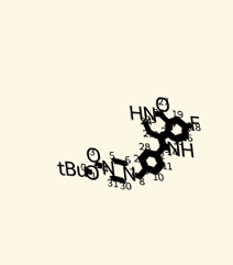 CC(C)(C)OC(=O)N1CCN(Cc2ccc(-c3[nH]c4cc(F)cc5c4c3CCNC5=O)cc2)CC1